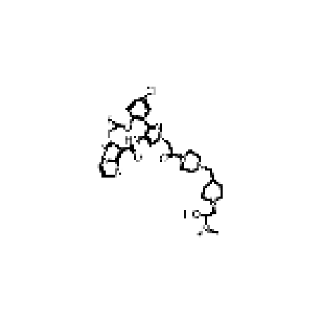 CN(C)C(O)CN1CCC(CN2CCN(C(=O)Cn3cc(NC(=O)c4cnn5cccnc45)c(-c4cc(Cl)ccc4OC(F)F)n3)CC2)CC1